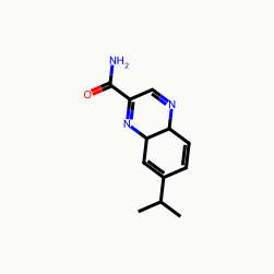 CC(C)C1=CC2N=C(C(N)=O)C=NC2C=C1